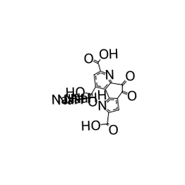 O=C(O)c1cc(C(=O)O)c2c(n1)C(=O)C(=O)c1cc(C(=O)O)[nH]c1-2.[NaH].[NaH].[NaH].[NaH]